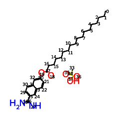 CCCCCCCCCCCCCCCCCC(=O)Oc1ccc2cc(C(=N)N)ccc2c1.CS(=O)(=O)O